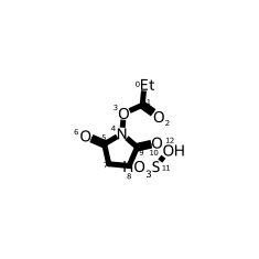 CCC(=O)ON1C(=O)CCC1=O.O=S(=O)(O)O